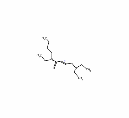 CCCCN(CC)C(=O)/C=C/CN(CC)CC